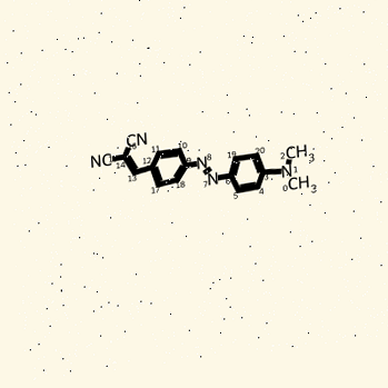 CN(C)c1ccc(N=Nc2ccc(C=C(C#N)C#N)cc2)cc1